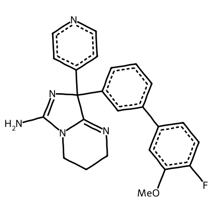 COc1cc(-c2cccc(C3(c4ccncc4)N=C(N)N4CCCN=C43)c2)ccc1F